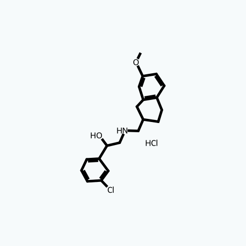 COc1ccc2c(c1)CC(CNCC(O)c1cccc(Cl)c1)CC2.Cl